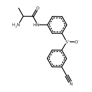 CC(N)C(=O)Nc1cccc([S+]([O-])c2cccc(C#N)c2)c1